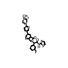 CN1CCN(c2ccc(-c3cnc4c(c3)C(=O)N(C(C(=O)Nc3nccs3)c3cccc(F)c3)C4)cn2)CC1